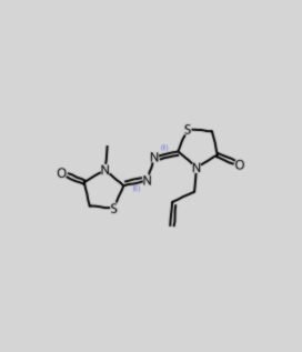 C=CCN1C(=O)CS/C1=N/N=C1/SCC(=O)N1C